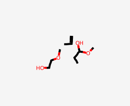 C=CC.CCC(O)OC.COCCO